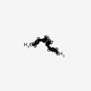 CCOC(=O)C1CCN(C(=O)/C=C/c2ccc(Sc3ccc(/C=C/C(=O)N4CCC(C(=O)OCC)CC4)cc3[N+](=O)[O-])c([N+](=O)[O-])c2)CC1